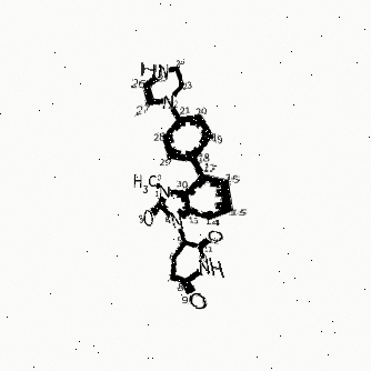 Cn1c(=O)n(C2CCC(=O)NC2=O)c2cccc(-c3ccc(N4CCNCC4)cc3)c21